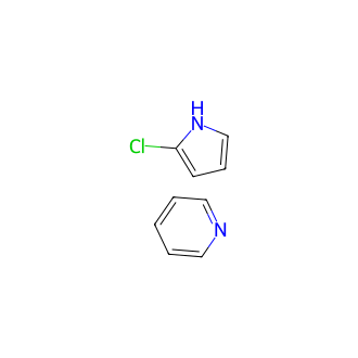 Clc1ccc[nH]1.c1ccncc1